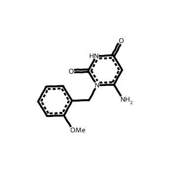 COc1ccccc1Cn1c(N)cc(=O)[nH]c1=O